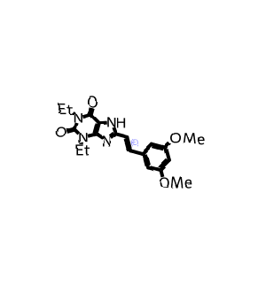 CCn1c(=O)c2[nH]c(/C=C/c3cc(OC)cc(OC)c3)nc2n(CC)c1=O